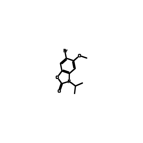 COc1cc2c(cc1Br)oc(=O)n2C(C)C